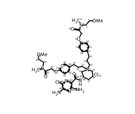 COCCN(C)C(=O)COc1ccc(CCC[N+]2(CCCc3ccc(OCC(=O)N(C)CCOC)cc3)CCC[C@H](NC(=O)c3nc(Cl)c(N)nc3N)C2)cc1.[Cl-]